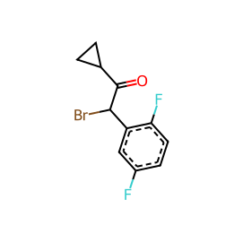 O=C(C1CC1)C(Br)c1cc(F)ccc1F